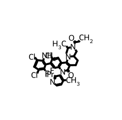 C=CC(=O)N1CC2CCc3c(c4cc(Cl)c(-c5c(N)c(Cl)cc(Cl)c5F)c(F)c4n(-c4c(C)ccnc4C(C)C)c3=O)N2CC1C